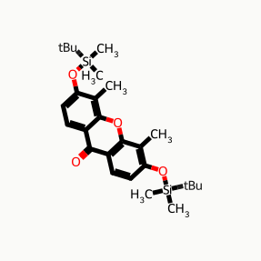 Cc1c(O[Si](C)(C)C(C)(C)C)ccc2c(=O)c3ccc(O[Si](C)(C)C(C)(C)C)c(C)c3oc12